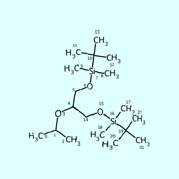 CC(C)OC(CO[Si](C)(C)C(C)(C)C)CO[Si](C)(C)C(C)(C)C